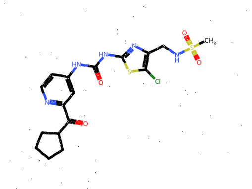 CS(=O)(=O)NCc1nc(NC(=O)Nc2ccnc(C(=O)C3CCCC3)c2)sc1Cl